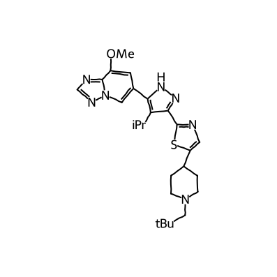 COc1cc(-c2[nH]nc(-c3ncc(C4CCN(CC(C)(C)C)CC4)s3)c2C(C)C)cn2ncnc12